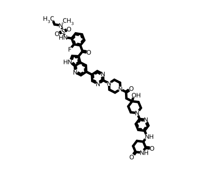 CCN(C)S(=O)(=O)Nc1cccc(C(=O)c2c[nH]c3ncc(-c4cnc(N5CCN(C(=O)CC6(O)CCN(c7ccc(NC8CCC(=O)NC8=O)cn7)CC6)CC5)nc4)cc23)c1F